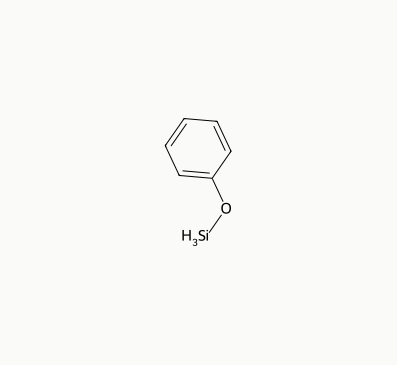 [SiH3]Oc1ccccc1